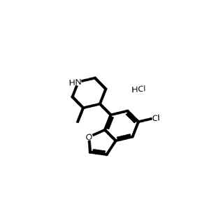 CC1CNCCC1c1cc(Cl)cc2ccoc12.Cl